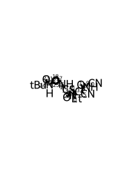 CCn1c(=C=C(C#N)C(=O)NCC#N)sc(=C=CNc2cccc(NC(=O)C(C)(C)C)c2)c1=O